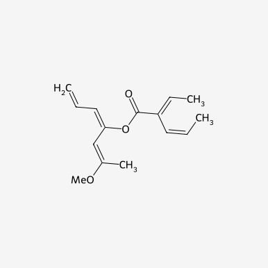 C=C/C=C(\C=C(/C)OC)OC(=O)C(/C=C\C)=C/C